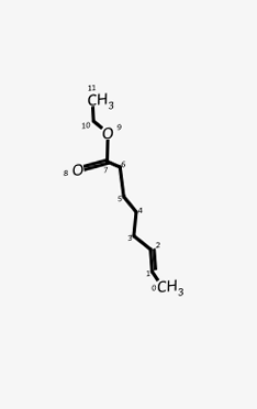 CC=CCCCCC(=O)OCC